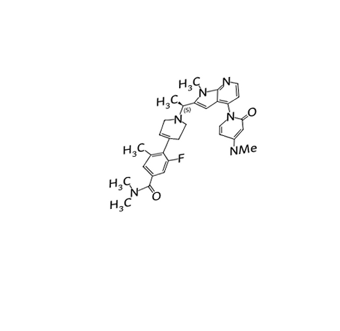 CNc1ccn(-c2ccnc3c2cc([C@H](C)N2CC=C(c4c(C)cc(C(=O)N(C)C)cc4F)CC2)n3C)c(=O)c1